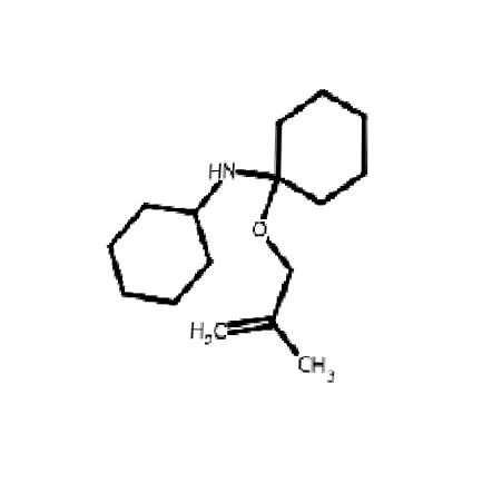 C=C(C)COC1(NC2CCCCC2)CCCCC1